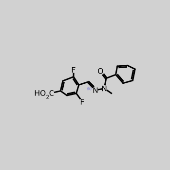 CN(/N=C/c1c(F)cc(C(=O)O)cc1F)C(=O)c1ccccc1